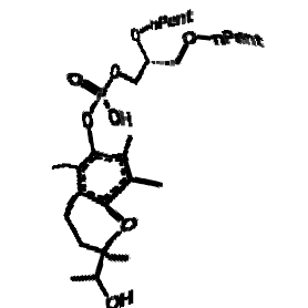 CCCCCOC[C@H](COP(=O)(O)Oc1c(C)c(C)c2c(c1C)CCC(C)(C(C)O)O2)OCCCCC